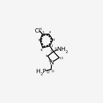 NC1(c2ccc(Cl)cc2)CN(CP)C1